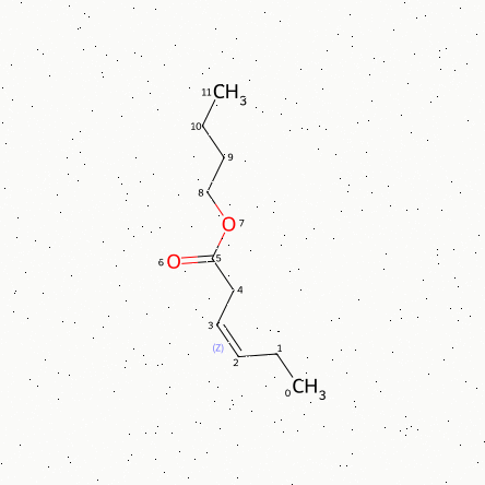 CC/C=C\CC(=O)OCCCC